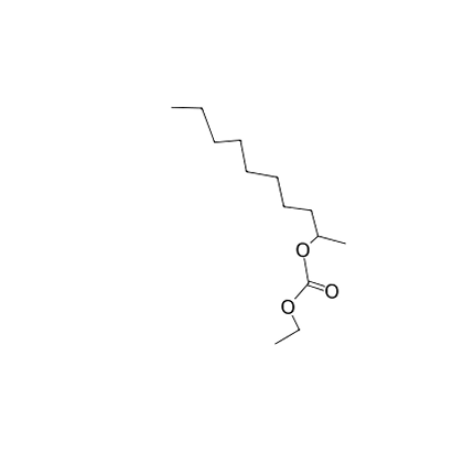 CCCCCCCCC(C)OC(=O)OCC